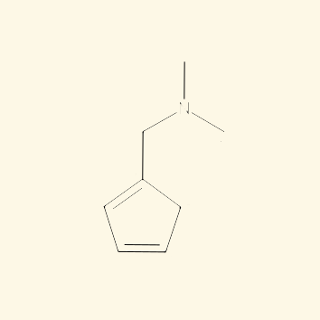 CN(C)CC1=CC=CC1